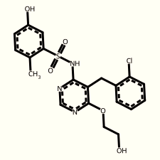 Cc1ccc(O)cc1S(=O)(=O)Nc1ncnc(OCCO)c1Cc1ccccc1Cl